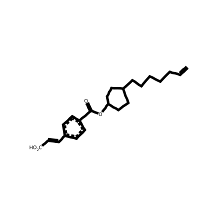 C=CCCCCCC1CCC(OC(=O)c2ccc(/C=C/C(=O)O)cc2)CC1